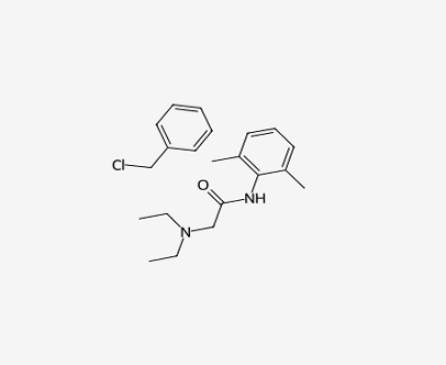 CCN(CC)CC(=O)Nc1c(C)cccc1C.ClCc1ccccc1